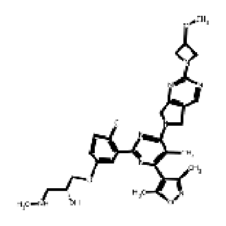 CNC[C@@H](O)COc1ccc(Cl)c(-c2nc(-c3c(C)noc3C)c(C)c(N3Cc4cnc(N5CC(OC)C5)nc4C3)n2)c1